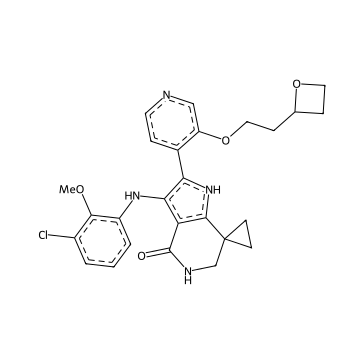 COc1c(Cl)cccc1Nc1c(-c2ccncc2OCCC2CCO2)[nH]c2c1C(=O)NCC21CC1